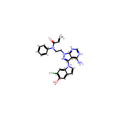 C=CC(=O)N(CCn1nc(-n2ccc3cc(O)c(F)cc32)c2c(N)ncnc21)c1ccccc1